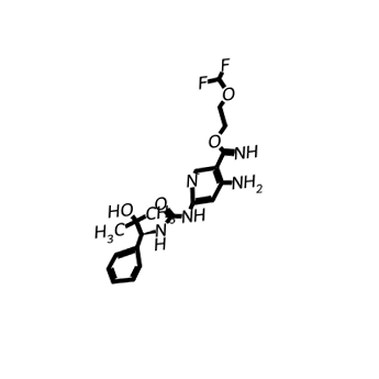 CC(C)(O)[C@@H](NC(=O)Nc1cc(N)c(C(=N)OCCOC(F)F)cn1)c1ccccc1